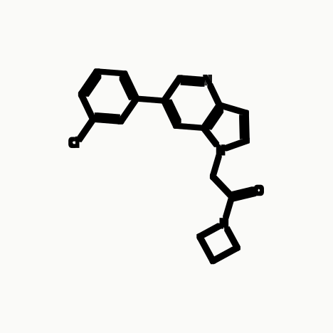 O=C(Cn1ccc2ncc(-c3cccc(Cl)c3)cc21)N1CCC1